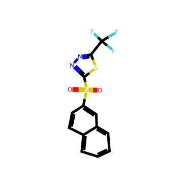 O=S(=O)(c1ccc2ccccc2c1)c1nnc(C(F)(F)F)s1